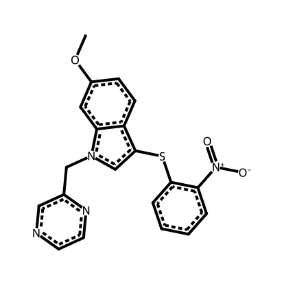 COc1ccc2c(Sc3ccccc3[N+](=O)[O-])cn(Cc3cnccn3)c2c1